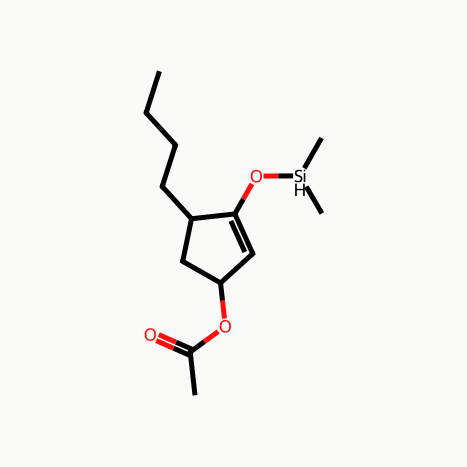 CCCCC1CC(OC(C)=O)C=C1O[SiH](C)C